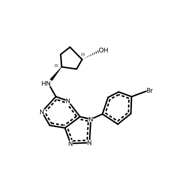 O[C@H]1CC[C@H](Nc2ncc3nnn(-c4ccc(Br)cc4)c3n2)C1